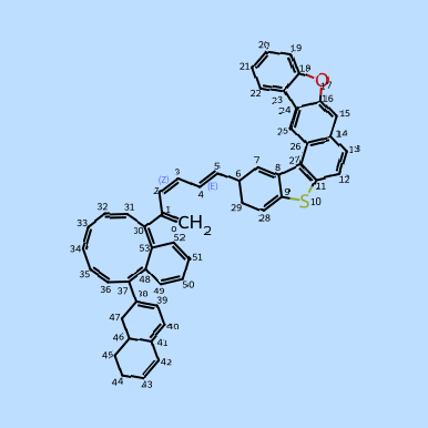 C=C(/C=C\C=C\C1C=c2c(sc3ccc4cc5oc6ccccc6c5cc4c23)=CC1)c1ccccccc(C2=CC=C3C=CCCC3C2)c2ccccc12